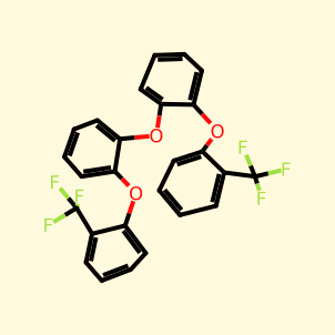 FC(F)(F)c1ccccc1Oc1ccccc1Oc1ccccc1Oc1ccccc1C(F)(F)F